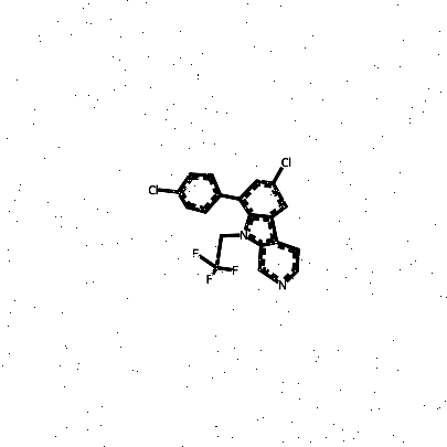 FC(F)(F)Cn1c2cnccc2c2cc(Cl)cc(-c3ccc(Cl)cc3)c21